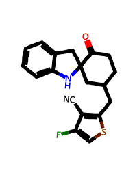 N#Cc1c(F)csc1CC1CCC(=O)C2(Cc3ccccc3N2)C1